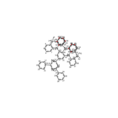 C[Si]1(C)c2ccccc2N(c2cc(-c3nc(-c4ccccc4)nc(-c4ccccc4)n3)cc(N3c4ccccc4[Si](C)(C)c4ccccc43)c2N(c2ccccc2)c2ccccc2)c2ccccc21